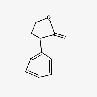 C=C1OCCC1c1ccccc1